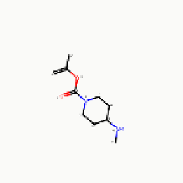 C=C(C)OC(=O)N1CCC(NC)CC1